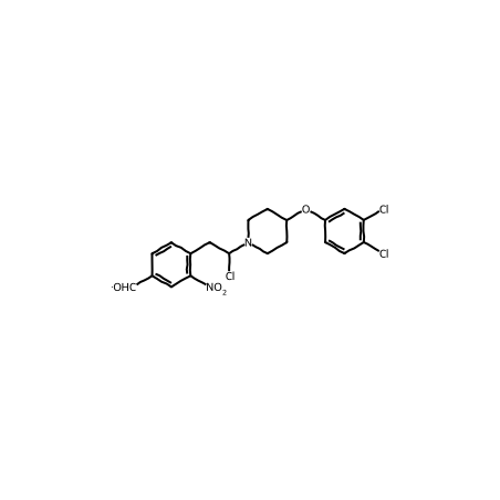 O=[C]c1ccc(CC(Cl)N2CCC(Oc3ccc(Cl)c(Cl)c3)CC2)c([N+](=O)[O-])c1